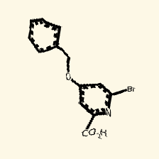 O=C(O)c1cc(OCc2ccccc2)cc(Br)n1